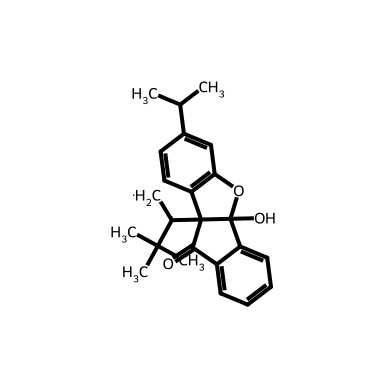 [CH2][C](C(C)(C)C)C12C(=O)c3ccccc3C1(O)Oc1cc(C(C)C)ccc12